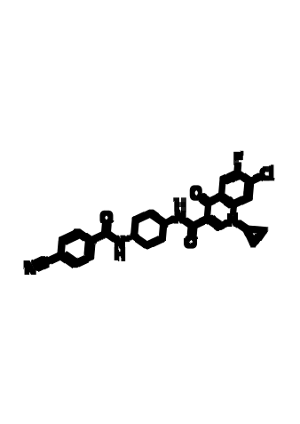 N#Cc1ccc(C(=O)N[C@H]2CC[C@H](NC(=O)c3cn(C4CC4)c4cc(Cl)c(F)cc4c3=O)CC2)cc1